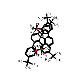 CC(C)(C)c1ccc(C2=C(c3ccc(C(C)(C)C)cc3C(C)(C)C)C(c3ccccc3-c3ccc(C(C)(C)C)cc3C(C)(C)C)(c3ccc(C(C)(C)C)cc3C(C)(C)C)C=C[C]2)c(C(C)(C)C)c1